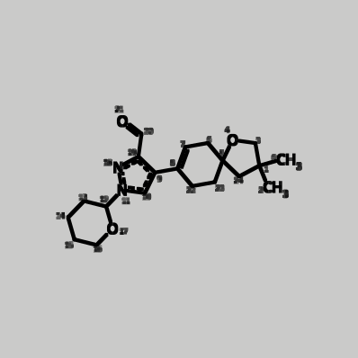 CC1(C)COC2(CC=C(c3cn(C4CCCCO4)nc3C=O)CC2)C1